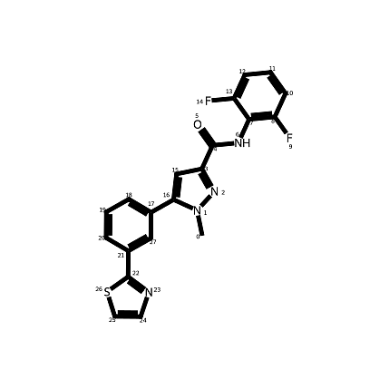 Cn1nc(C(=O)Nc2c(F)cccc2F)cc1-c1cccc(-c2nccs2)c1